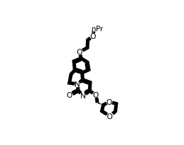 CCCOCCOc1ccc2c(c1)CCn1c-2cc(OC[C@H]2COCCO2)nc1=O